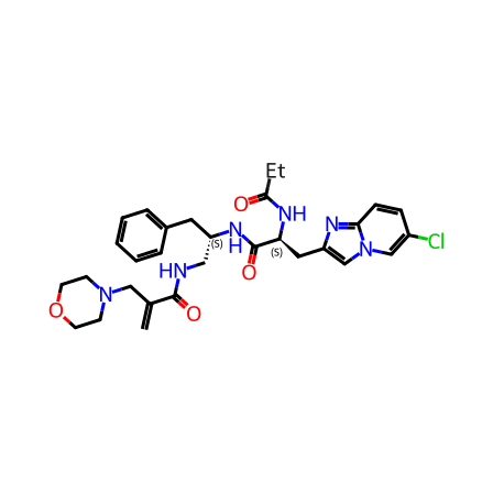 C=C(CN1CCOCC1)C(=O)NC[C@H](Cc1ccccc1)NC(=O)[C@H](Cc1cn2cc(Cl)ccc2n1)NC(=O)CC